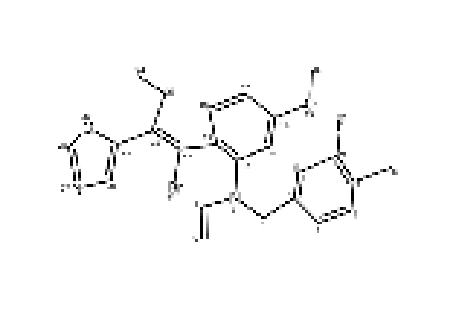 C=CN(Cc1ccc(C)c(F)c1)c1cc(OC)ccc1/C(Br)=C(\CC)c1cnco1